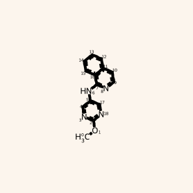 COc1ncc(Nc2nccc3ccccc23)cn1